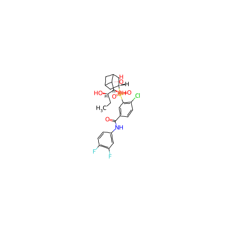 CC[C@@H](O)[C@H](O)[C@]1(O)C2CC1C[C@@H](S(=O)(=O)c1cc(C(=O)Nc3ccc(F)c(F)c3)ccc1Cl)C2